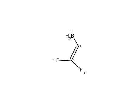 BC=C(F)F